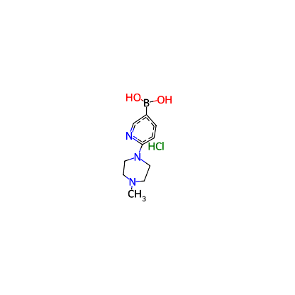 CN1CCN(c2ccc(B(O)O)cn2)CC1.Cl